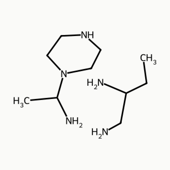 CC(N)N1CCNCC1.CCC(N)CN